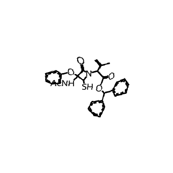 C=C(C)C(C(=O)OC(c1ccccc1)c1ccccc1)N1C(=O)C(NC(C)=O)(Oc2ccccc2)C1S